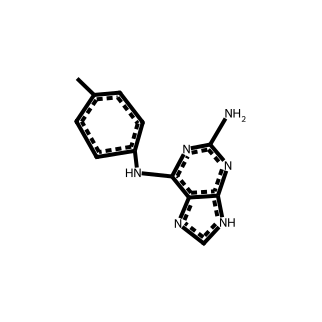 Cc1ccc(Nc2nc(N)nc3[nH]cnc23)cc1